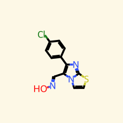 ON=Cc1c(-c2ccc(Cl)cc2)nc2sccn12